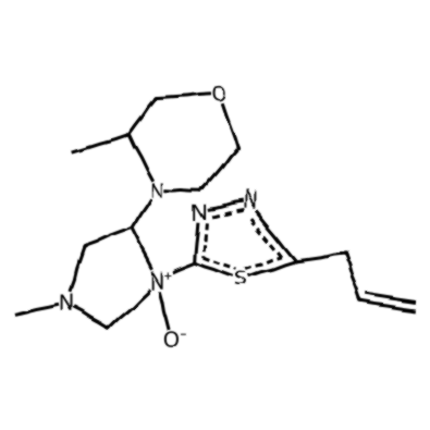 C=CCc1nnc([N+]2([O-])CN(C)CC2N2CCOCC2C)s1